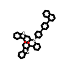 c1ccc(N(c2ccc(-c3ccc(-c4cccc5ccccc45)cc3)cc2)c2ccc3c(c2)oc2ccccc23)c(-c2cccc3c2sc2ccccc23)c1